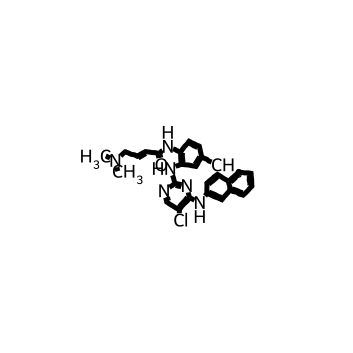 Cc1ccc(NC(=O)/C=C/CN(C)C)c(Nc2ncc(Cl)c(Nc3ccc4ccccc4c3)n2)c1